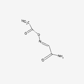 NC(=O)C=NOC(=O)C(=O)O